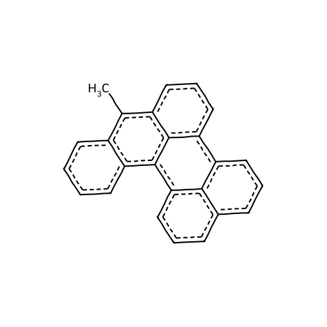 Cc1c2ccccc2c2c3cccc4cccc(c5cccc1c52)c43